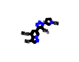 COc1cc(-c2nnn([C@@H]3CCN(C#N)C3)c2C)cn2ncc(C#N)c12